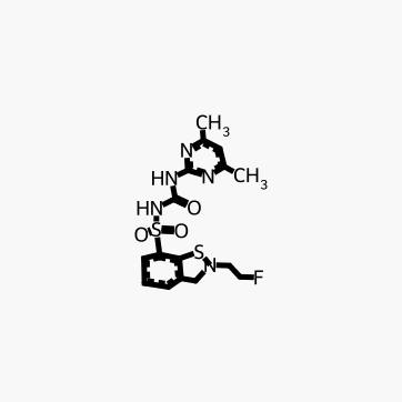 Cc1cc(C)nc(NC(=O)NS(=O)(=O)c2cccc3c2SN(CCF)C3)n1